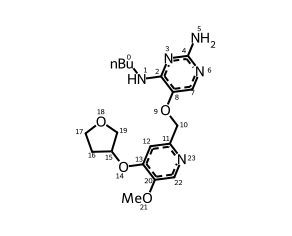 CCCCNc1nc(N)ncc1OCc1cc(OC2CCOC2)c(OC)cn1